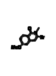 COc1ccc2c(=O)n(C)c(Br)cc2c1